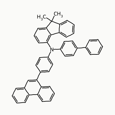 CC1(C)c2ccccc2-c2c(N(c3ccc(-c4ccccc4)cc3)c3ccc(-c4cc5ccccc5c5ccccc45)cc3)cccc21